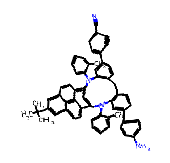 Cc1ccccc1N1c2cc(-c3ccc(N)cc3)ccc2Cc2ccc(-c3ccc(C#N)cc3)cc2N(c2ccccc2C)c2cc1c1ccc3cc(C(C)(C)C)cc4ccc2c1c34